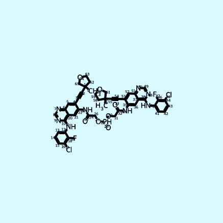 CC1(C#Cc2cc3ncnc(Nc4cccc(Cl)c4F)c3cc2NC(=O)CO[PH](=O)OCC(=O)Nc2cc3c(Nc4cccc(Cl)c4F)ncnc3cc2C#CC2(C)CCOC2)CCOC1